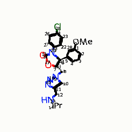 COc1cccc([C@H]2[C@H](Cn3cc(CNC(C)C)nn3)OC(=O)N2c2ccc(Cl)cc2)c1